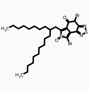 CCCCCCCCCCC(CCCCCCCC)CC1=C2C(=O)C(Br)c3nsnc3C2=C(Br)[N+]1=O